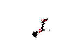 C=CCC(C)(O)CCCCC(CCCC)COOCc1ccccc1